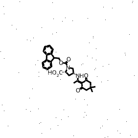 CC(N[C@@H]1C[C@H](C(=O)O)N(C(=O)OCC2c3ccccc3-c3ccccc32)C1)=C1C(=O)CC(C)(C)CC1=O